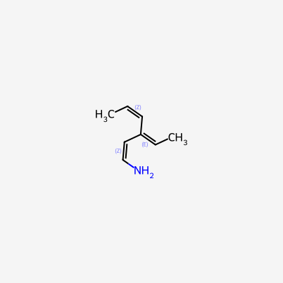 C\C=C/C(/C=C\N)=C\C